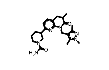 Cc1nn(C)c(C)c1CN1C(=O)C(C)Cc2ccc(C3CCCN(C(N)=O)C3)nc21